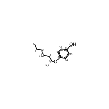 CCCOC[C@@H](C)Oc1ccc(O)cc1